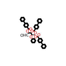 O=C[C@H](OC(=O)c1ccc(-c2ccccc2)cc1)[C@@H](OC(=O)c1ccc(-c2ccccc2)cc1)[C@@H](COC(=O)c1ccc(-c2ccccc2)cc1)Oc1ccccc1